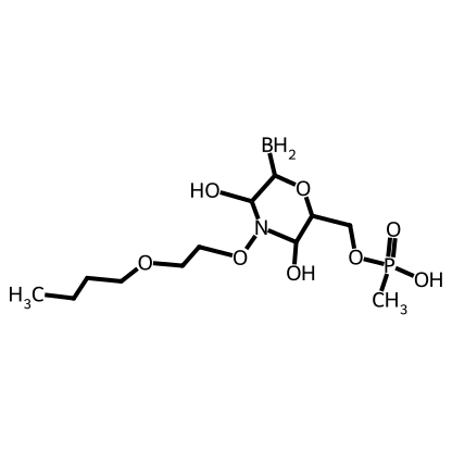 BC1OC(COP(C)(=O)O)C(O)N(OCCOCCCC)C1O